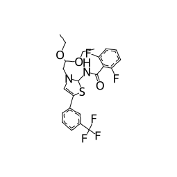 CCOC(CN1C=C(c2cccc(C(F)(F)F)c2)SC1NC(=O)c1c(F)cccc1F)OCC